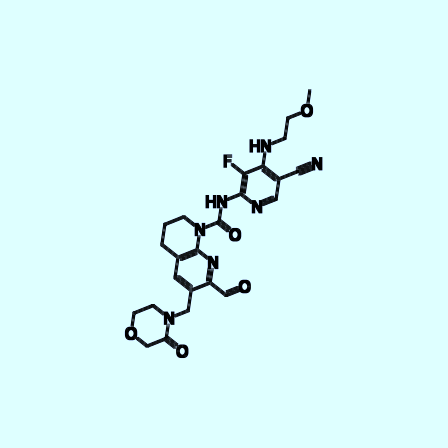 COCCNc1c(C#N)cnc(NC(=O)N2CCCc3cc(CN4CCOCC4=O)c(C=O)nc32)c1F